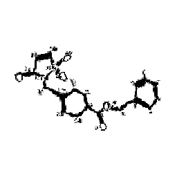 O=C(OCc1ccccc1)C1CCC(CN2C(=O)C=CS2(=O)=O)CC1